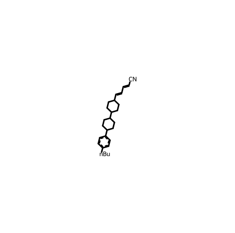 CCCCc1ccc(C2CCC(C3CCC(C=CC=CC#N)CC3)CC2)cc1